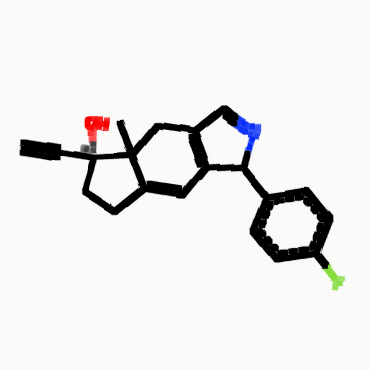 C#C[C@]1(O)CCC2=CC3=C(C=NC3c3ccc(F)cc3)CC21C